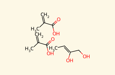 C=C(C)C(=O)O.C=C(C)C(=O)O.CC=C(O)CO